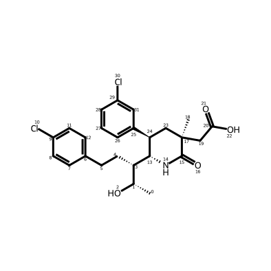 C[C@H](O)[C@H](CCc1ccc(Cl)cc1)[C@H]1NC(=O)[C@](C)(CC(=O)O)C[C@@H]1c1cccc(Cl)c1